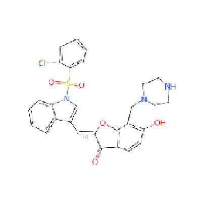 O=C1/C(=C/c2cn(S(=O)(=O)c3ccccc3Cl)c3ccccc23)Oc2c1ccc(O)c2CN1CCNCC1